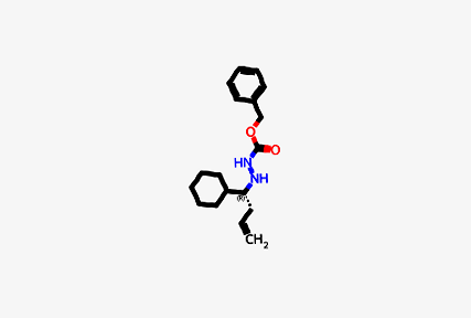 C=CC[C@@H](NNC(=O)OCc1ccccc1)C1CCCCC1